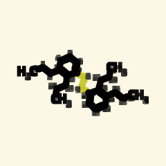 CCCc1cccc(SSc2cccc(CCC)c2CCC)c1CCC